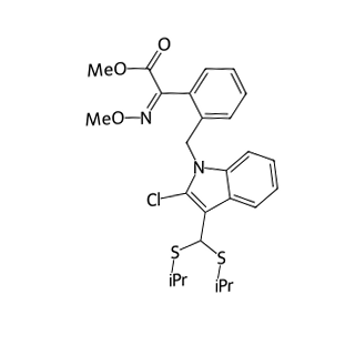 CON=C(C(=O)OC)c1ccccc1Cn1c(Cl)c(C(SC(C)C)SC(C)C)c2ccccc21